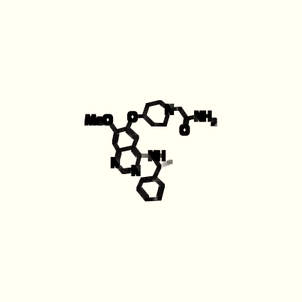 COc1cc2ncnc(N[C@H](C)c3ccccc3)c2cc1OC1CCN(CC(N)=O)CC1